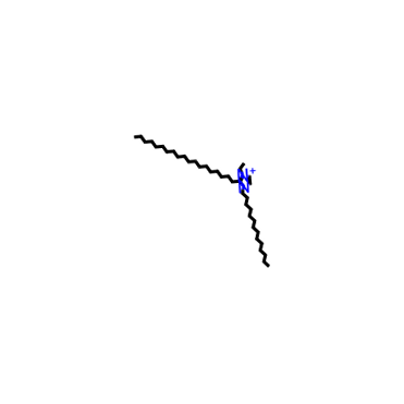 CCCCCCCCCCCCCCCCCCCc1n(CCCCCCCCCCCCCC)cc[n+]1CC